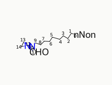 CCCCCCCCCCCCCCCCCCN(C=O)N1CC1